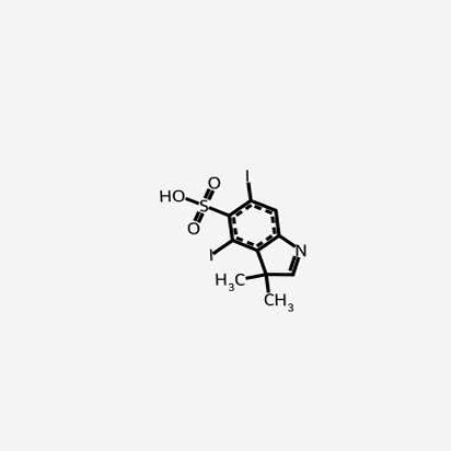 CC1(C)C=Nc2cc(I)c(S(=O)(=O)O)c(I)c21